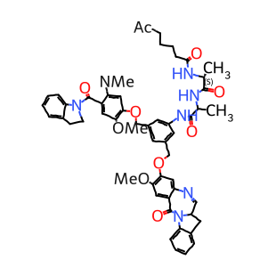 CNc1cc(OCc2cc(COc3cc4c(cc3OC)C(=O)N3c5ccccc5CC3C=N4)cc(NC(=O)C(C)NC(=O)[C@H](C)NC(=O)CCCCC(C)=O)c2)c(OC)cc1C(=O)N1CCc2ccccc21